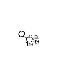 CC[Si](CC)(CC)OC(CO)C1CCCC1